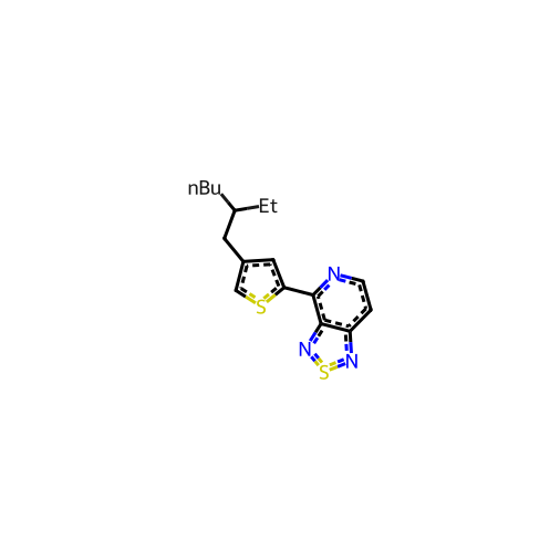 CCCCC(CC)Cc1csc(-c2nccc3nsnc23)c1